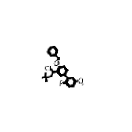 COc1ccc(F)c(-c2ccc(OCc3ccccc3)c(C(Cl)CC(C)(C)C)c2)c1